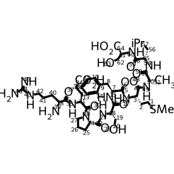 CSCC[C@H](NC(=O)[C@H](Cc1ccccc1)NC(=O)[C@H](CO)NC(=O)[C@@H]1CCCN1C(=O)[C@H](CCC(=O)O)NC(=O)[C@@H](N)CCCNC(=N)N)C(=O)N[C@@H](C)C(=O)N[C@@H](CC(C)C)C(=O)N[C@@H](CO)C(=O)O